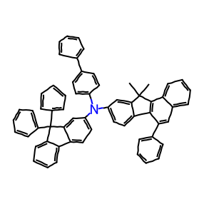 CC1(C)c2cc(N(c3ccc(-c4ccccc4)cc3)c3ccc4c(c3)C(c3ccccc3)(c3ccccc3)c3ccccc3-4)ccc2-c2c(-c3ccccc3)cc3ccccc3c21